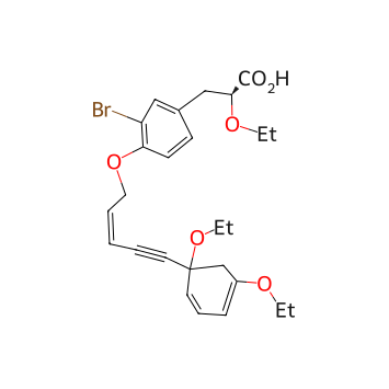 CCOC1=CC=CC(C#C/C=C\COc2ccc(C[C@H](OCC)C(=O)O)cc2Br)(OCC)C1